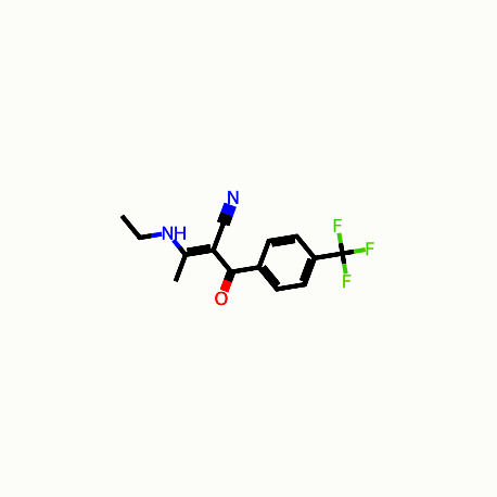 CCN/C(C)=C(\C#N)C(=O)c1ccc(C(F)(F)F)cc1